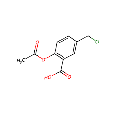 CC(=O)Oc1ccc(CCl)cc1C(=O)O